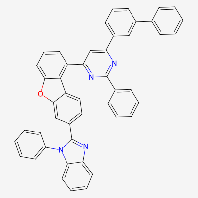 c1ccc(-c2cccc(-c3cc(-c4cccc5oc6cc(-c7nc8ccccc8n7-c7ccccc7)ccc6c45)nc(-c4ccccc4)n3)c2)cc1